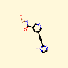 O=S=NC(=O)c1cncc(C#Cc2ncc[nH]2)c1